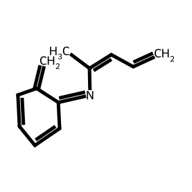 C=C/C=C(C)\N=C1\C=CC=CC1=C